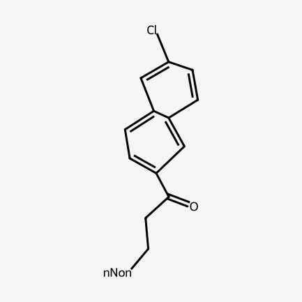 CCCCCCCCCCCC(=O)c1ccc2cc(Cl)ccc2c1